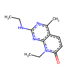 CCNc1nc(C)c2ccc(=O)n(CC)c2n1